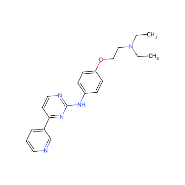 CCN(CC)CCOc1ccc(Nc2nccc(-c3cccnc3)n2)cc1